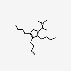 CCCCC1=C(CCCC)C(CCCC)=C(C(C)N(C)C)C1